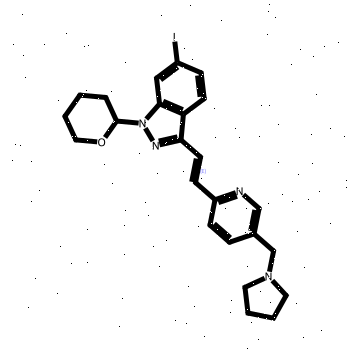 Ic1ccc2c(/C=C/c3ccc(CN4CCCC4)cn3)nn(C3CCCCO3)c2c1